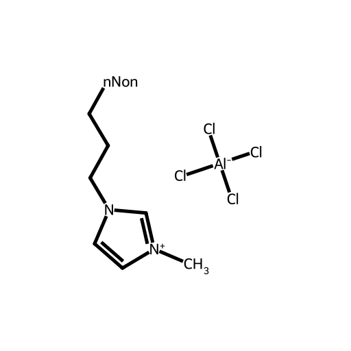 CCCCCCCCCCCCn1cc[n+](C)c1.[Cl][Al-]([Cl])([Cl])[Cl]